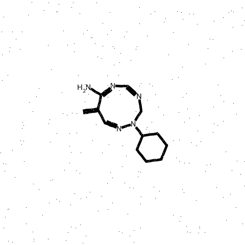 C=C1/C=N\N(C2CCCCC2)C/N=C\N=C/1N